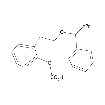 CCCC(OCCc1ccccc1OC(=O)O)c1ccccc1